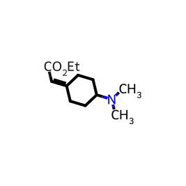 CCOC(=O)C=C1CCC(N(C)C)CC1